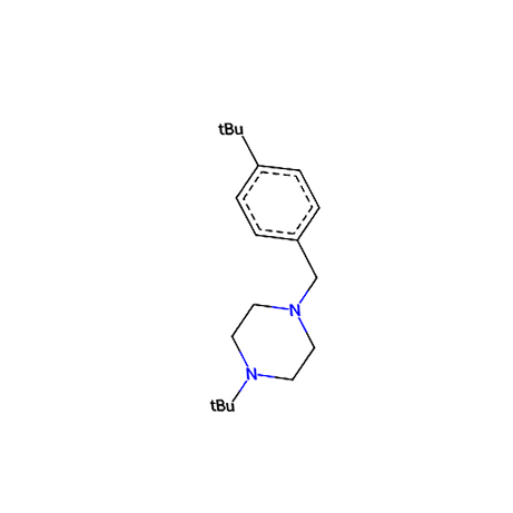 CC(C)(C)c1ccc(CN2CCN(C(C)(C)C)CC2)cc1